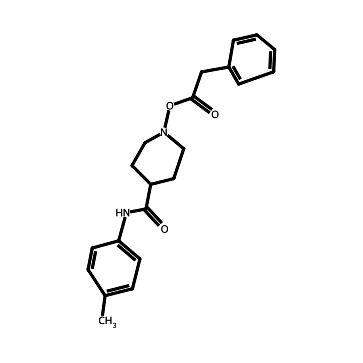 Cc1ccc(NC(=O)C2CCN(OC(=O)Cc3ccccc3)CC2)cc1